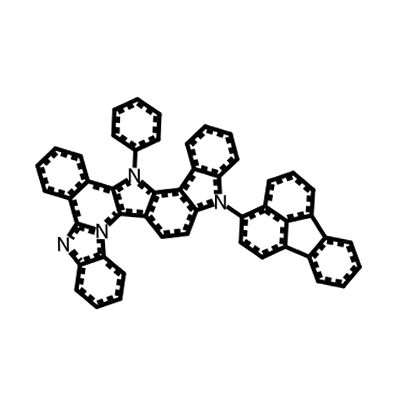 c1ccc(-n2c3c(ccc4c3c3ccccc3n4-c3ccc4c5c(cccc35)-c3ccccc3-4)c3c2c2ccccc2c2nc4ccccc4n23)cc1